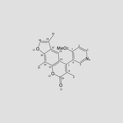 COc1ccncc1-c1c(C)c(=O)oc2c(C)c3occ(C)c3cc12